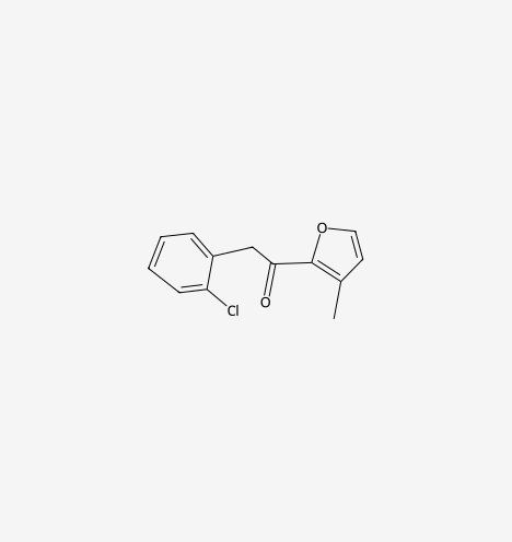 Cc1ccoc1C(=O)Cc1ccccc1Cl